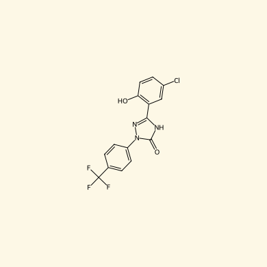 O=c1[nH]c(-c2cc(Cl)ccc2O)nn1-c1ccc(C(F)(F)F)cc1